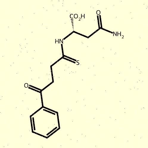 NC(=O)C[C@H](NC(=S)CCC(=O)c1ccccc1)C(=O)O